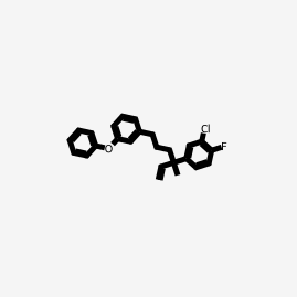 C=CC(C)(CCCc1cccc(Oc2ccccc2)c1)c1ccc(F)c(Cl)c1